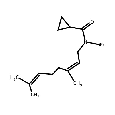 CC(C)=CCC/C(C)=C\CN(C(=O)C1CC1)C(C)C